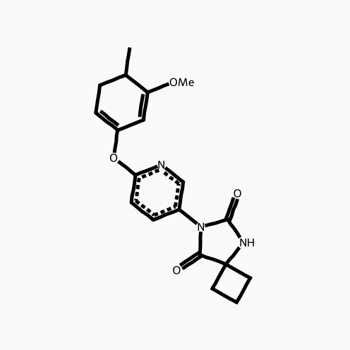 COC1=CC(Oc2ccc(N3C(=O)NC4(CCC4)C3=O)cn2)=CCC1C